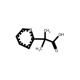 CC(C)(C(=O)O)c1ccc[c]n1